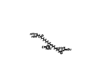 CCCCCCC(CCCC)COC(=O)CCCCCCCCC(CCCCCCCCC(=O)OCC(CCCC)CCCCCC)N(C)CC(CC)CCCC